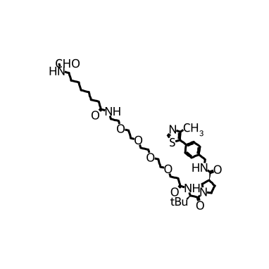 Cc1ncsc1-c1ccc(CNC(=O)[C@H]2CCN(C(=O)[C@H](NC(=O)CCOCCOCCOCCOCCNC(=O)CCCCCCCNC=O)C(C)(C)C)C2)cc1